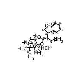 CC1(C)[C@@H]2C[C@H]3OB(C(CN)C4COc5ccccc54)O[C@@]3(C)[C@H]1C2.Cl